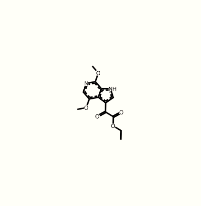 CCOC(=O)C(=O)c1c[nH]c2c(OC)ncc(OC)c12